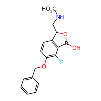 O=C(O)NCC1OB(O)c2c1ccc(OCc1ccccc1)c2F